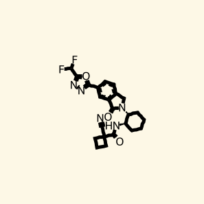 N#CC1(C(=O)N[C@@H]2CCCC[C@H]2N2Cc3ccc(-c4nnc(C(F)F)o4)cc3C2=O)CCC1